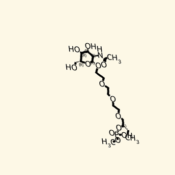 CC[C@@H](COCCOCCOCCO[C@@H]1O[C@H](CO)[C@H](O)[C@H](O)[C@H]1NC(C)=O)OP(=O)(O)OC